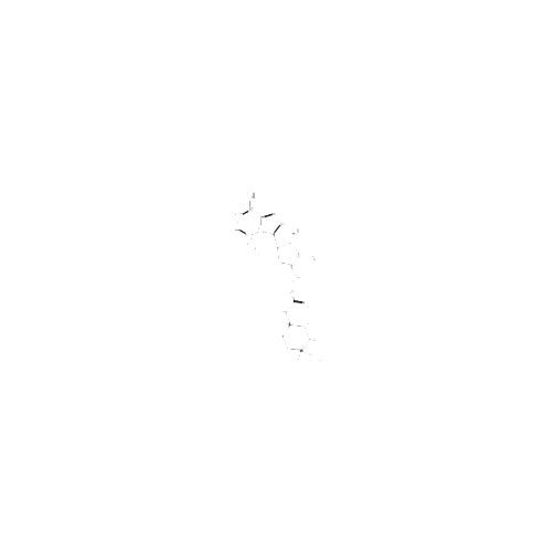 C[C@@]1(c2ccc3c(N)ncnn23)O[C@H](COC(=O)CC2CCC(F)(F)CC2)[C@@H](O)[C@H]1O